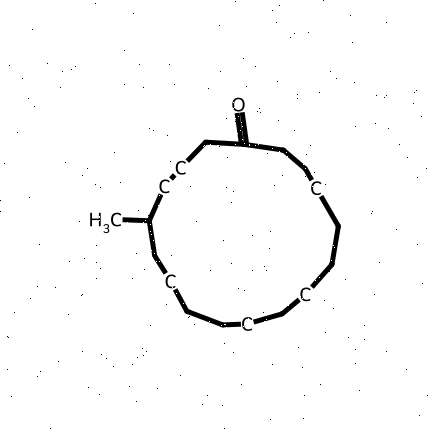 CC1CCCCCCCCCCCCC(=O)CCC1